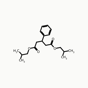 CC(C)COC(=O)CC(CC(=O)OCC(C)C)c1ccccc1